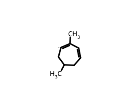 CC1=[C]CC(C)CC=C1